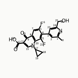 Cc1cc(-c2c(F)cc3c(=O)c(C(=O)O)cn(C4CC4)c3c2F)cc(CO)n1